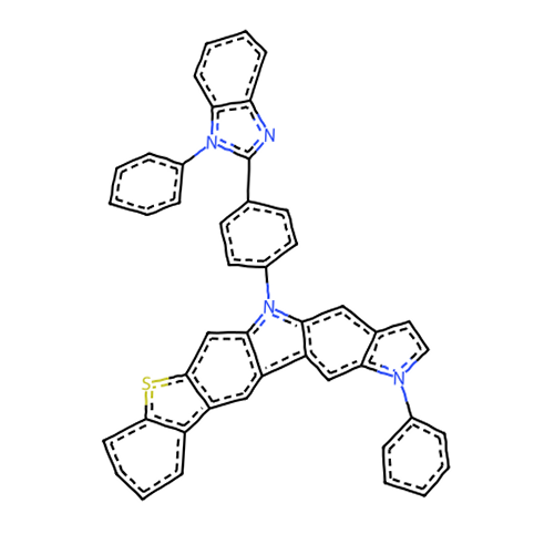 c1ccc(-n2ccc3cc4c(cc32)c2cc3c(cc2n4-c2ccc(-c4nc5ccccc5n4-c4ccccc4)cc2)sc2ccccc23)cc1